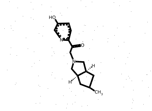 CC1C[C@@H]2CN(CC(=O)c3ccc(O)cn3)C[C@@H]2C1